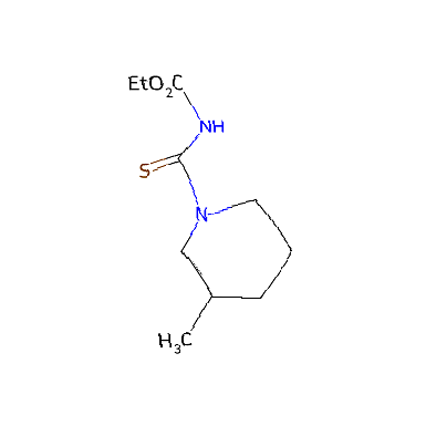 CCOC(=O)NC(=S)N1CCCC(C)C1